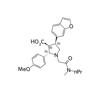 CCCN(C)C(=O)CN1C[C@H](c2ccc3ccoc3c2)[C@H](C(=O)O)[C@H]1c1ccc(OC)cc1